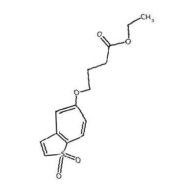 CCOC(=O)CCCOc1ccc2c(c1)C=CS2(=O)=O